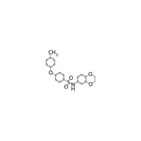 Cc1ccc(Oc2ccc(S(=O)(=O)Nc3ccc4c(c3)OCCO4)cc2)cc1